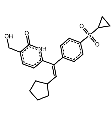 O=c1[nH]c(/C(=C\C2CCCC2)c2ccc(S(=O)(=O)C3CC3)cc2)ccc1CO